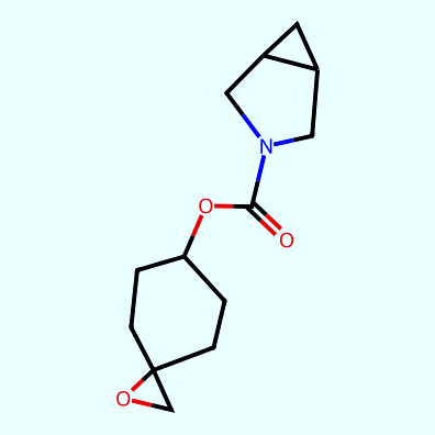 O=C(OC1CCC2(CC1)CO2)N1CC2CC2C1